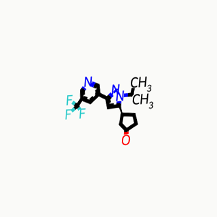 CC(C)n1nc(-c2cncc(C(F)(F)F)c2)cc1[C@H]1CCC(=O)C1